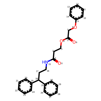 O=C(CCOC(=O)COc1ccccc1)NCCC(c1ccccc1)c1ccccc1